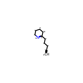 C#CCCCC1=NCCCC1